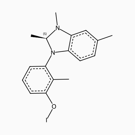 Cc1ccc2c(c1)N(C)[C@H](C)N2c1cccc(OI)c1C